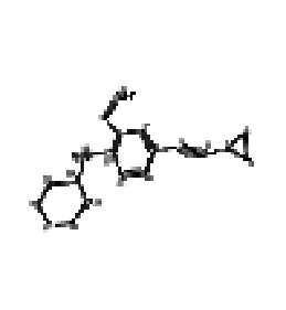 N=Cc1cc(C#CC2CC2)ccc1NC1CCCCO1